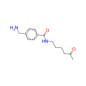 CC(=O)CCCCNC(=O)c1ccc(CN)cc1